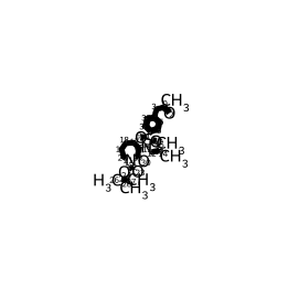 CC(=O)Cc1ccc(S(=O)(=O)N(CC(C)C)[C@H]2CCCCN(C(=O)OC(C)(C)C)C2=O)cc1